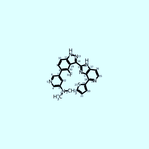 CN(C)c1cncc(-c2ccc3[nH]nc(-c4nc5c(-c6cccs6)nccc5[nH]4)c3c2F)c1